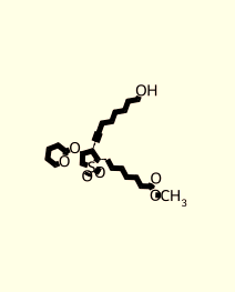 COC(=O)CCCCCC[C@H]1[C@@H](C#CCCCCCCO)[C@@H](OC2CCCCO2)CS1(=O)=O